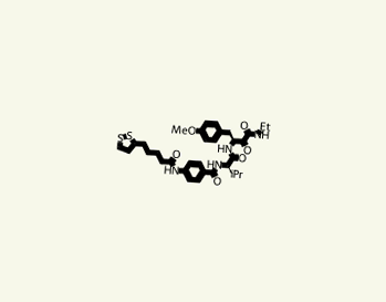 CCNC(=O)C(=O)[C@H](Cc1ccc(OC)cc1)NC(=O)[C@@H](NC(=O)c1ccc(NC(=O)CCCCC2CCSS2)cc1)C(C)C